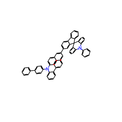 c1ccc(-c2ccc(N(c3ccc4cc(-c5ccc6c(c5)C5(c7ccccc7-6)c6ccccc6N(c6ccccc6)c6ccccc65)ccc4c3)c3ccccc3-c3ccccc3)cc2)cc1